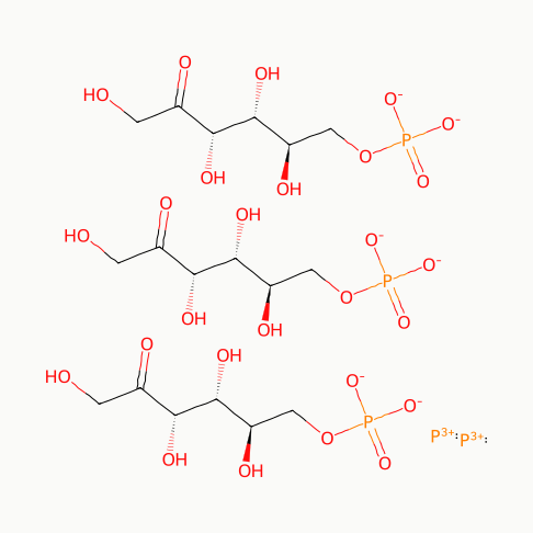 O=C(CO)[C@@H](O)[C@H](O)[C@H](O)COP(=O)([O-])[O-].O=C(CO)[C@@H](O)[C@H](O)[C@H](O)COP(=O)([O-])[O-].O=C(CO)[C@@H](O)[C@H](O)[C@H](O)COP(=O)([O-])[O-].[P+3].[P+3]